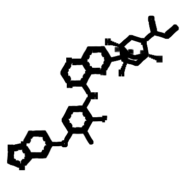 C=CC(=O)N1C[C@@H]2CC[C@H]1C[C@H]2c1ccc2ncnc(Nc3ccc(Oc4ccn5ncnc5c4)c(C)c3F)c2n1